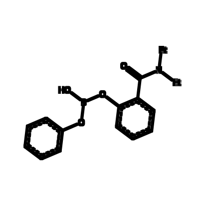 CCN(CC)C(=O)c1ccccc1OB(O)Oc1ccccc1